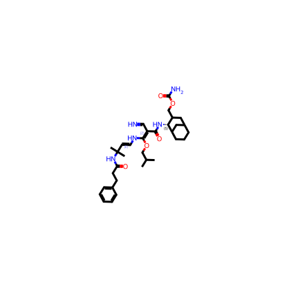 CC(C)CO/C(N/C=C/C(C)(C)NC(=O)CCc1ccccc1)=C(/C=N)C(=O)N[C@H]1C2CCCC(C2)CC1COC(N)=O